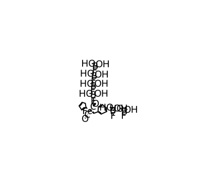 O=[C]=[Fe](=[C]=O)(=[CH]c1ccccc1)[C]1=CC=CC1.OB(O)F.OB(O)F.OB(O)F.OB(O)F.OB(O)F.OB(O)F